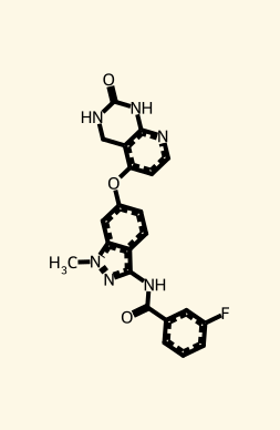 Cn1nc(NC(=O)c2cccc(F)c2)c2ccc(Oc3ccnc4c3CNC(=O)N4)cc21